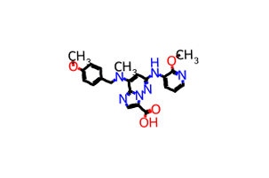 COc1ccc(CN(C)c2cc(Nc3cccnc3OC)nn3c(C(=O)O)cnc23)cc1